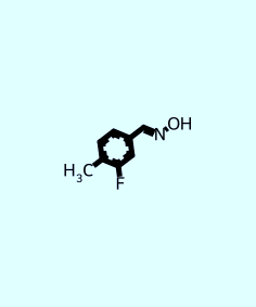 Cc1ccc(C=NO)cc1F